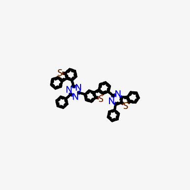 c1ccc(-c2nc(-c3ccc4sc5c(-c6nc(-c7ccccc7)c7sc8ccccc8c7n6)cccc5c4c3)nc(-c3cccc4sc5ccccc5c34)n2)cc1